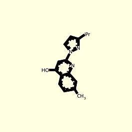 Cc1ccc2c(O)cc(-n3ccc(C(C)C)n3)nc2c1